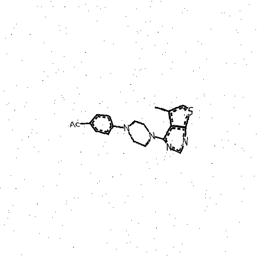 CC(=O)c1ccc(N2CCN(c3ncnc4scc(C)c34)CC2)cc1